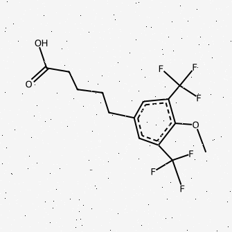 COc1c(C(F)(F)F)cc(CCCCC(=O)O)cc1C(F)(F)F